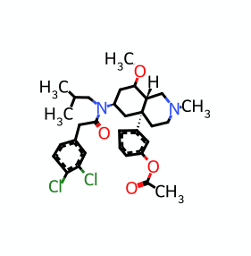 COC1C[C@H](N(CC(C)C)C(=O)Cc2ccc(Cl)c(Cl)c2)C[C@]2(c3cccc(OC(C)=O)c3)CCN(C)C[C@@H]12